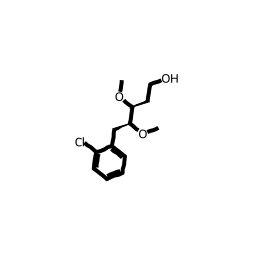 CO[C@@H](CCO)[C@H](Cc1ccccc1Cl)OC